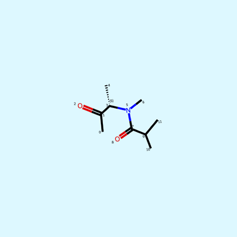 CC(=O)[C@H](C)N(C)C(=O)C(C)C